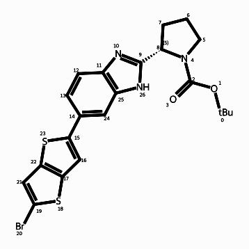 CC(C)(C)OC(=O)N1CCC[C@H]1c1nc2ccc(-c3cc4sc(Br)cc4s3)cc2[nH]1